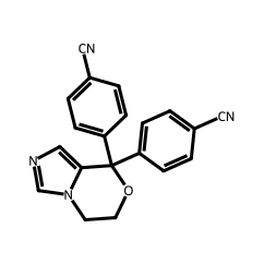 N#Cc1ccc(C2(c3ccc(C#N)cc3)OCCn3cncc32)cc1